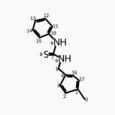 Cc1ccc(CNC(=S)Nc2ccccc2)cc1